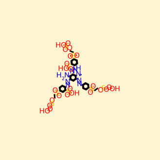 CNc1c(/N=N/c2ccc(S(=O)(=O)CCOSOOO)cc2)cc(/N=N/c2ccc(S(=O)(=O)CCOSOOO)cc2S(=O)(=O)O)c(N)c1/N=N/c1ccc(S(=O)(=O)CCOS(=O)(=O)O)cc1S(=O)(=O)O